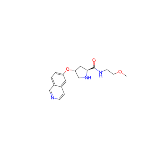 COCCNC(=O)[C@@H]1C[C@@H](Oc2ccc3cnccc3c2)CN1